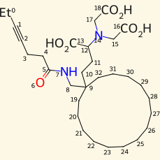 CCC#CCCC(=O)NCC1(CCC(C(=O)O)N(CC(=O)O)CC(=O)O)CCCCCCCCCCCCCC1